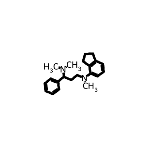 CN(CCC(c1ccccc1)N(C)C)c1cccc2c1CCC2